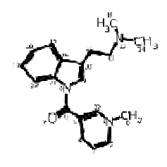 CN1C=CCC(C(=O)n2cc(CCN(C)C)c3ccccc32)=C1